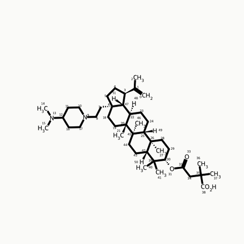 C=C(C)[C@@H]1CC[C@]2(CCN3CCC(N(C)C)CC3)CC[C@]3(C)[C@H](CC[C@@H]4[C@@]5(C)CC[C@H](OC(=O)CC(C)(C)C(=O)O)C(C)(C)[C@@H]5CC[C@]43C)[C@@H]12